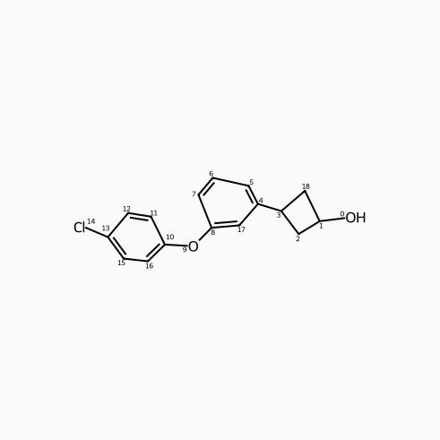 OC1CC(c2cccc(Oc3ccc(Cl)cc3)c2)C1